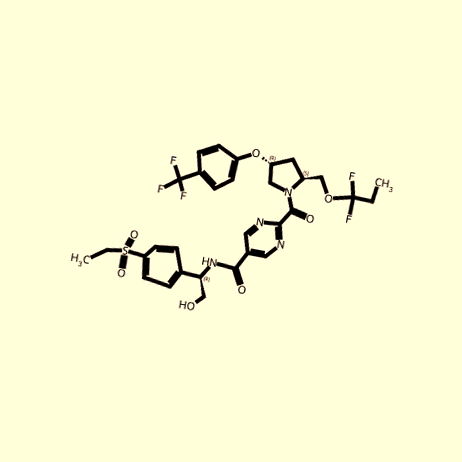 CCC(F)(F)OC[C@@H]1C[C@@H](Oc2ccc(C(F)(F)F)cc2)CN1C(=O)c1ncc(C(=O)N[C@@H](CO)c2ccc(S(=O)(=O)CC)cc2)cn1